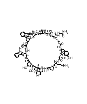 CCCC[C@H]1C(=O)N(C)[C@@H](CCCC)C(=O)N[C@@H](C)C(=O)N[C@H](C(=O)NCC(N)=O)CSCC(=O)N[C@@H](Cc2ccc(O)cc2)C(=O)N(C)[C@@H](C)C(=O)N[C@@H](CCCN)C(=O)N2CCC[C@H]2C(=O)N[C@@H](Cc2cnc[nH]2)C(=O)N[C@@H](CC(=O)O)C(=O)N2C[C@H](O)C[C@H]2C(=O)N[C@@H](Cc2c[nH]c3ccccc23)C(=O)N[C@@H](CO)C(=O)NC(Cc2c[nH]c3ccccc23)C(=O)N1C